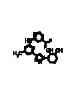 Cc1cc(Nc2cc(C(F)F)ccn2)nc(-c2cn(C3CCCC(O)[C@H]3O)nn2)c1